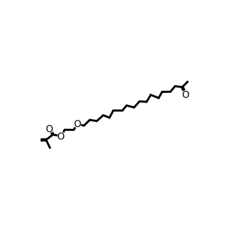 C=C(C)C(=O)OCCOCCCCCCCCCCCCCCCCC(C)=O